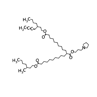 C=C=C=CC(CCCC)CCOC(=O)CCCCCCCCCC(CCCCCCCCCC(=O)OCCC(C)CCCC)C(=O)OCCCN1CCCC1